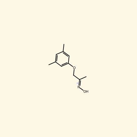 C/C(COc1cc(C)cc(C)c1)=N\O